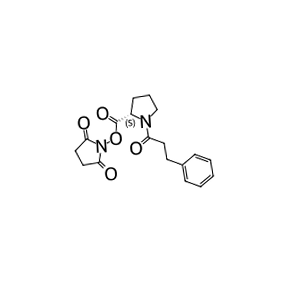 O=C(ON1C(=O)CCC1=O)[C@@H]1CCCN1C(=O)CCc1ccccc1